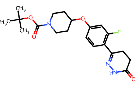 CC(C)(C)OC(=O)N1CCC(Oc2ccc(C3=NNC(=O)CC3)c(F)c2)CC1